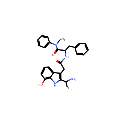 CC(N)c1[nH]c2c(O)cccc2c1CC(=O)NC(Cc1ccccc1)C(=O)N(C)c1ccccc1